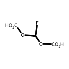 O=C(O)OC(F)OC(=O)O